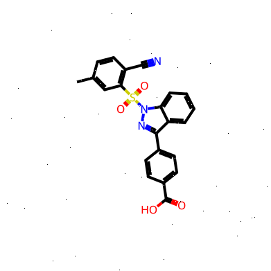 Cc1ccc(C#N)c(S(=O)(=O)n2nc(-c3ccc(C(=O)O)cc3)c3ccccc32)c1